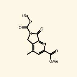 COC(=O)c1cc(C)c2c(n1)C(=O)N(C(=O)OC(C)(C)C)C2